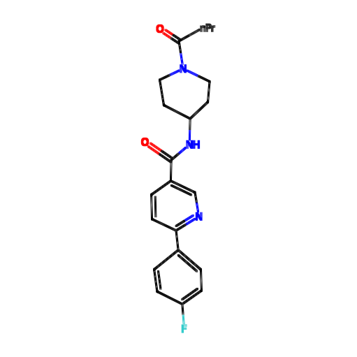 CCCC(=O)N1CCC(NC(=O)c2ccc(-c3ccc(F)cc3)nc2)CC1